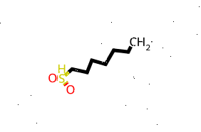 [CH2]CCCCCC[SH](=O)=O